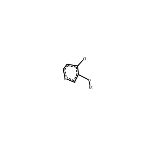 CCOc1[c]nccc1Cl